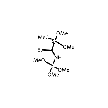 CCC(N[Si](OC)(OC)OC)[Si](OC)(OC)OC